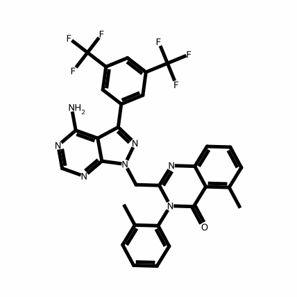 Cc1ccccc1-n1c(Cn2nc(-c3cc(C(F)(F)F)cc(C(F)(F)F)c3)c3c(N)ncnc32)nc2cccc(C)c2c1=O